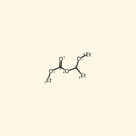 CCOC(=O)OC(CC)OCC